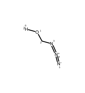 [2H]OCN=[N+]=[N-]